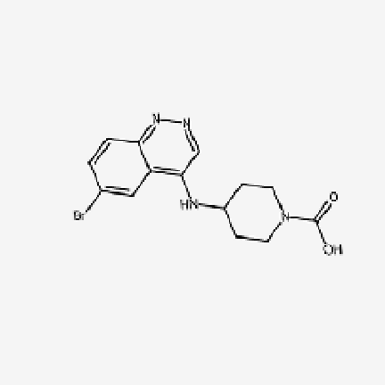 O=C(O)N1CCC(Nc2cnnc3ccc(Br)cc23)CC1